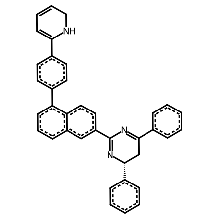 C1=CCNC(c2ccc(-c3cccc4cc(C5=N[C@@H](c6ccccc6)CC(c6ccccc6)=N5)ccc34)cc2)=C1